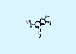 CCOCN1C[C@@H](NN)Cc2cc(OC)c(OC)cc21